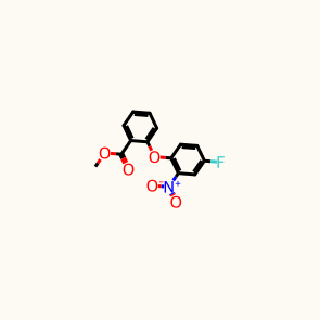 COC(=O)c1ccccc1Oc1ccc(F)cc1[N+](=O)[O-]